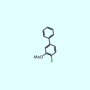 COc1cc(-c2ccccc2)ccc1F